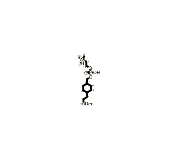 CCCCCCCCCCCCC1CCC(COP(=O)(O)OCC[AsH](C)(C)C)CC1